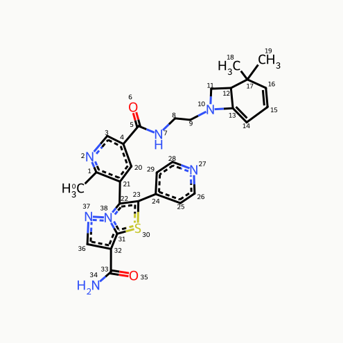 Cc1ncc(C(=O)NCCN2CC3C2=CC=CC3(C)C)cc1-c1c(-c2ccncc2)sc2c(C(N)=O)cnn12